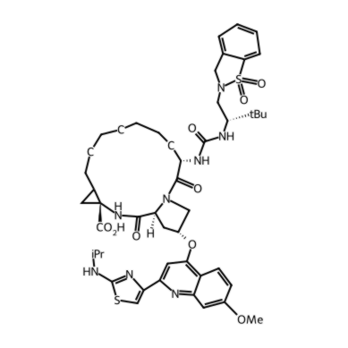 COc1ccc2c(O[C@@H]3C[C@H]4C(=O)N[C@]5(C(=O)O)CC5CCCCCCC[C@H](NC(=O)N[C@H](CN5Cc6ccccc6S5(=O)=O)C(C)(C)C)C(=O)N4C3)cc(-c3csc(NC(C)C)n3)nc2c1